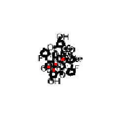 COC[C@@]1(C(=O)[C@]2(COC)[C@@H](C3CCCNC3)[C@H](c3cccc(F)c3C)[C@@H](C(=O)c3cccc(O)c3)N2CCN(C)S(C)(=O)=O)[C@@H](C2CCCNC2)[C@H](c2cccc(F)c2C)[C@@H](C(=O)c2cccc(O)c2)N1CCN(C)S(C)(=O)=O